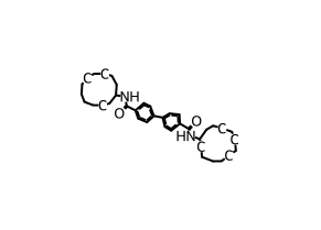 O=C(NC1CCCCCCCCCCC1)c1ccc(-c2ccc(C(=O)NC3CCCCCCCCCCC3)cc2)cc1